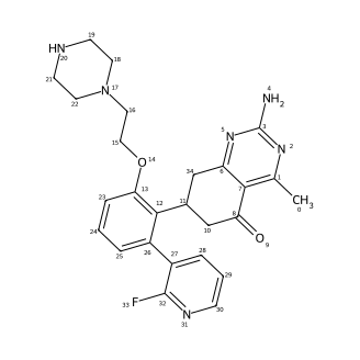 Cc1nc(N)nc2c1C(=O)CC(c1c(OCCN3CCNCC3)cccc1-c1cccnc1F)C2